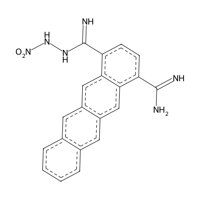 N=C(N)c1ccc(C(=N)NN[N+](=O)[O-])c2cc3cc4ccccc4cc3cc12